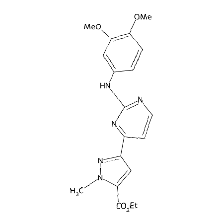 CCOC(=O)c1cc(-c2ccnc(Nc3ccc(OC)c(OC)c3)n2)nn1C